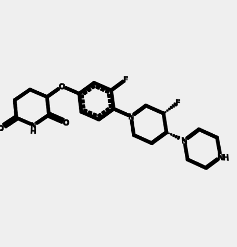 O=C1CCC(Oc2ccc(N3CC[C@@H](N4CCNCC4)[C@@H](F)C3)c(F)c2)C(=O)N1